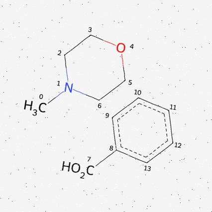 CN1CCOCC1.O=C(O)c1ccccc1